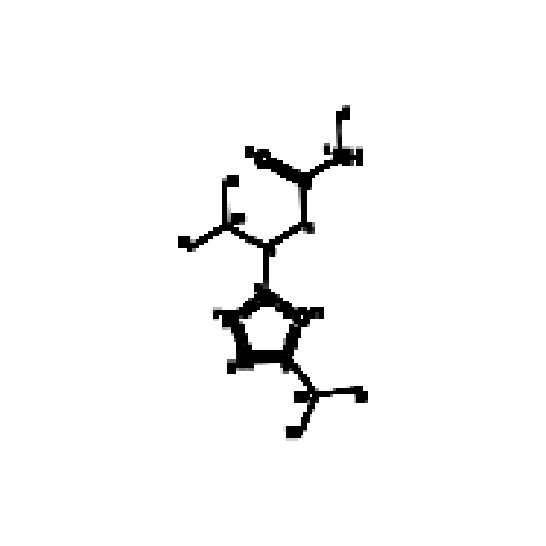 CNC(=O)CC(c1nnc(C(C)C)o1)C(C)C